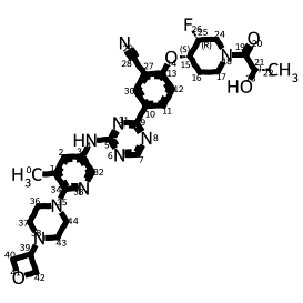 Cc1cc(Nc2ncnc(-c3ccc(O[C@H]4CCN(C(=O)[C@H](C)O)C[C@H]4F)c(C#N)c3)n2)cnc1N1CCN(C2COC2)CC1